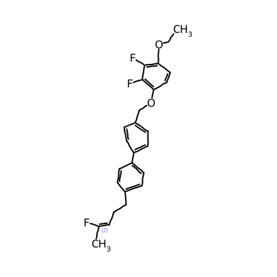 CCOc1ccc(OCc2ccc(-c3ccc(CC/C=C(/C)F)cc3)cc2)c(F)c1F